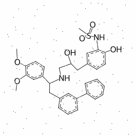 COc1ccc(C(Cc2cccc(-c3ccccc3)c2)NCC(O)Cc2ccc(O)c(NS(C)(=O)=O)c2)cc1OC